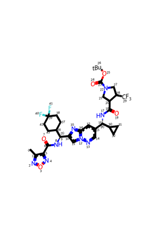 Cc1nonc1C(=O)N[C@H](c1cn2ncc([C@H](NC(=O)C3CN(C(=O)OC(C)(C)C)CC3C(F)(F)F)C3CC3)cc2n1)C1CCC(F)(F)CC1